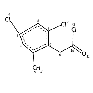 Cc1cc(Cl)cc(Cl)c1CC(=O)Cl